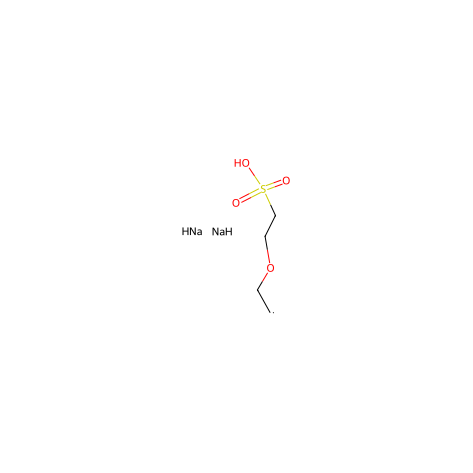 [CH2]COCCS(=O)(=O)O.[NaH].[NaH]